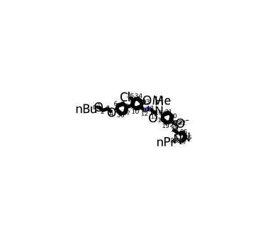 CCCCOCCOc1ccc(-c2cc(/C=C/C(=O)Nc3ccc([S@@+]([O-])Cc4cncn4CCC)cc3)c(OC)cc2Cl)cc1